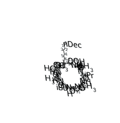 CCCCCCCCCCCCCCCCCC1CC(=O)NC(C(C)O)C(=O)NC(C(C)C)C(=O)NC(C)C(=O)N2CCCC2C(=O)NC(C(C)CC)C(=O)NC(C)C(=O)NC(C(C)O)C(=O)O1